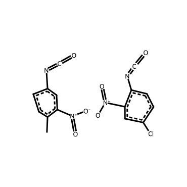 Cc1ccc(N=C=O)cc1[N+](=O)[O-].O=C=Nc1ccc(Cl)cc1[N+](=O)[O-]